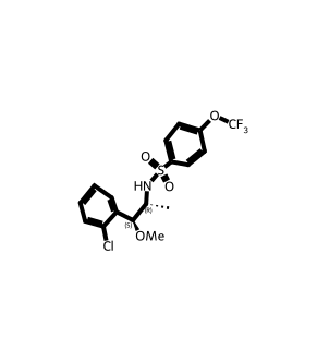 CO[C@@H](c1ccccc1Cl)[C@@H](C)NS(=O)(=O)c1ccc(OC(F)(F)F)cc1